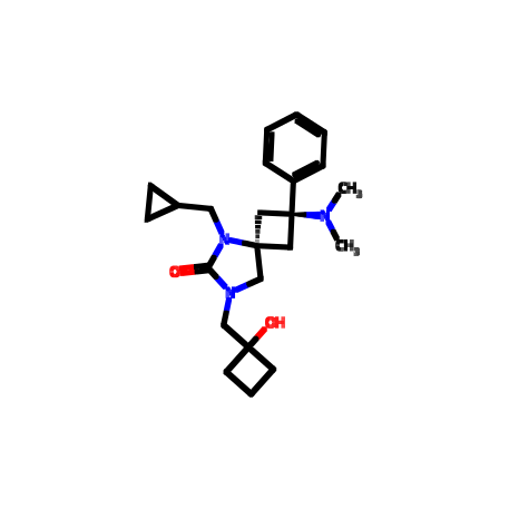 CN(C)[C@]1(c2ccccc2)C[C@@]2(CN(CC3(O)CCC3)C(=O)N2CC2CC2)C1